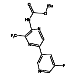 CC(C)(C)OC(=O)Nc1ncc(-c2cncc(F)c2)nc1C(F)(F)F